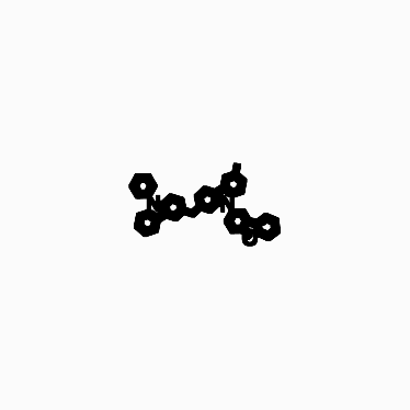 Cc1ccc2c(c1)c1ccc(Cc3ccc4c(c3)c3ccccc3n4-c3ccccc3)cc1n2-c1ccc2oc3ccccc3c2c1